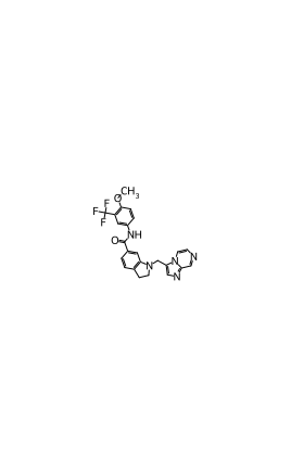 COc1ccc(NC(=O)c2ccc3c(c2)N(Cc2cnc4cnccn24)CC3)cc1C(F)(F)F